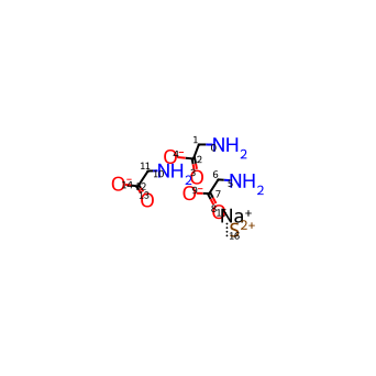 NCC(=O)[O-].NCC(=O)[O-].NCC(=O)[O-].[Na+].[S+2]